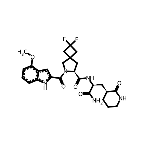 COc1cccc2[nH]c(C(=O)N3CC4(C[C@H]3C(=O)N[C@@H](C[C@@H]3CCCNC3=O)C(N)=O)CC(F)(F)C4)cc12